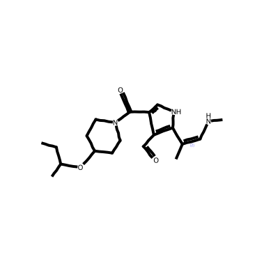 CCC(C)OC1CCN(C(=O)c2c[nH]c(/C(C)=C\NC)c2C=O)CC1